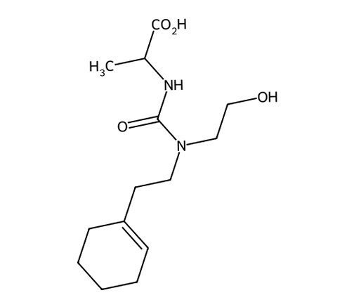 CC(NC(=O)N(CCO)CCC1=CCCCC1)C(=O)O